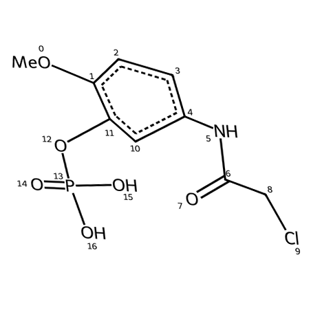 COc1ccc(NC(=O)CCl)cc1OP(=O)(O)O